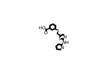 O=C(O)c1cccc(SCc2cnc(Nc3ccccn3)s2)c1